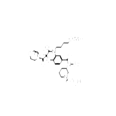 COCCCCN1C(=O)C(C)(C(=O)N2CCOCC2)Oc2ccc(C(=O)N(C(C)C)[C@@H]3CCCN(C(=O)O)C3)cc21